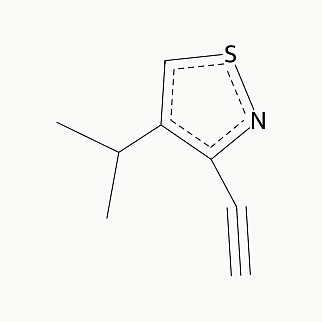 C#Cc1nscc1C(C)C